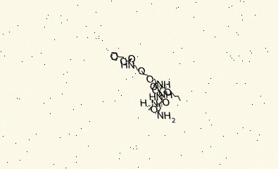 CCCCOC[C@H](NC(=O)COCCOCCNC(=O)OCc1ccccc1)C(=O)NNC(=O)[C@@H](N)CC(N)=O